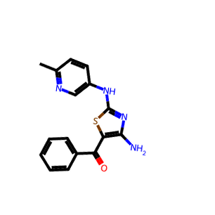 Cc1ccc(Nc2nc(N)c(C(=O)c3ccccc3)s2)cn1